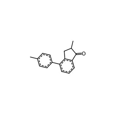 Cc1ccc(-c2cccc3c2CC(C)C3=O)cc1